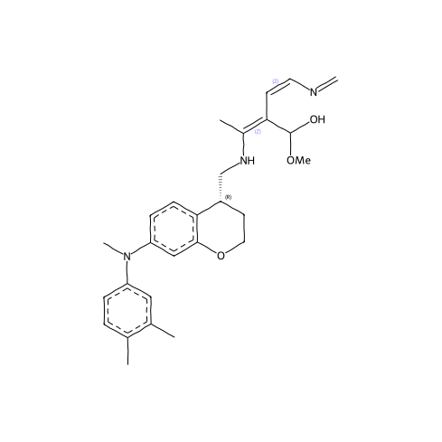 C=N/C=C\C(=C(/C)NC[C@@H]1CCOc2cc(N(C)c3ccc(C)c(C)c3)ccc21)C(O)OC